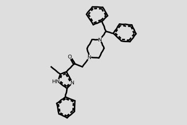 Cc1[nH]c(-c2ccccc2)nc1C(=O)CN1CCN(C(c2ccccc2)c2ccccc2)CC1